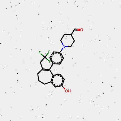 O=CC1CCN(c2ccc(C3=C(CC(F)(F)F)CCCc4cc(O)ccc43)cc2)CC1